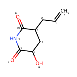 C=CCC1CC(O)C(=O)NC1=O